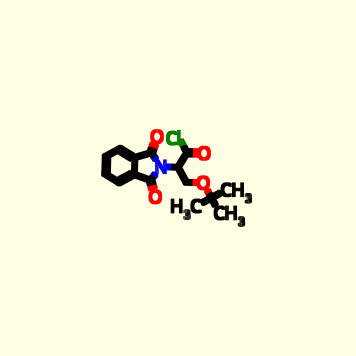 CC(C)(C)OCC(C(=O)Cl)N1C(=O)c2ccccc2C1=O